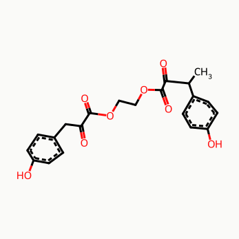 CC(C(=O)C(=O)OCCOC(=O)C(=O)Cc1ccc(O)cc1)c1ccc(O)cc1